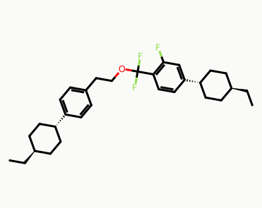 CC[C@H]1CC[C@H](c2ccc(CCOC(F)(F)c3ccc([C@H]4CC[C@H](CC)CC4)cc3F)cc2)CC1